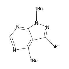 CC(C)c1nn(C(C)(C)C)c2ncnc(C(C)(C)C)c12